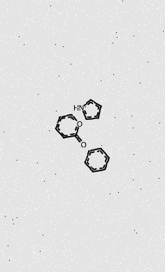 O=c1cccco1.c1cc[nH]c1.c1ccccc1